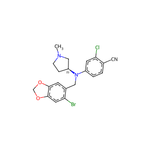 CN1CC[C@H](N(Cc2cc3c(cc2Br)OCO3)c2ccc(C#N)c(Cl)c2)C1